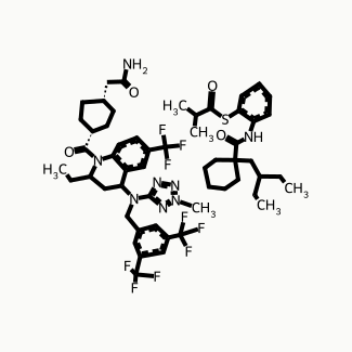 CCC(CC)CC1(C(=O)Nc2ccccc2SC(=O)C(C)C)CCCCC1.CCC1CC(N(Cc2cc(C(F)(F)F)cc(C(F)(F)F)c2)c2nnn(C)n2)c2cc(C(F)(F)F)ccc2N1C(=O)[C@H]1CC[C@@H](CC(N)=O)CC1